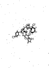 O=C(NC(Cn1c(-c2ccc(Cl)cc2)nn(Cc2ncn(-c3ncccc3Cl)n2)c1=O)C(F)(F)F)C1C[C@@H](F)CN1